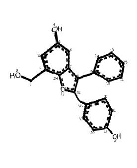 OCc1cc(O)cc2c(-c3ccccc3)c(-c3ccc(O)cc3)oc12